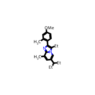 CCc1c(-c2ccc(OC)cc2C)nc2c(C)cc(C(CC)CC)cn12